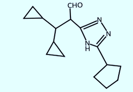 O=CC(c1nnc(C2CCCC2)[nH]1)C(C1CC1)C1CC1